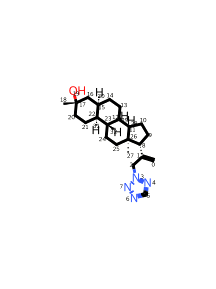 C=C(Cn1ncnn1)[C@H]1CC[C@H]2[C@@H]3CC[C@@H]4C[C@@](C)(O)CC[C@@H]4[C@H]3CC[C@]12C